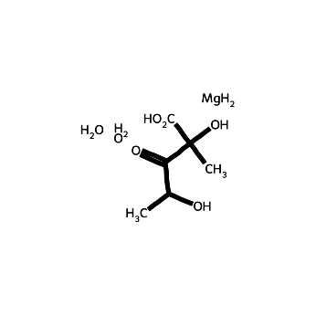 CC(O)C(=O)C(C)(O)C(=O)O.O.O.[MgH2]